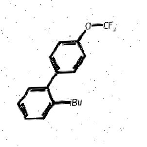 CCC(C)c1ccccc1-c1ccc(OC(F)(F)F)cc1